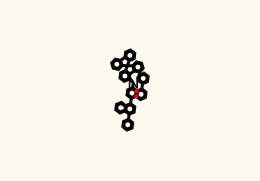 c1ccc(-c2ccccc2N(c2ccc(-c3ccc(-c4ccccc4)c4ccccc34)cc2)c2cccc3c2-c2ccccc2C32c3ccccc3-c3ccccc32)cc1